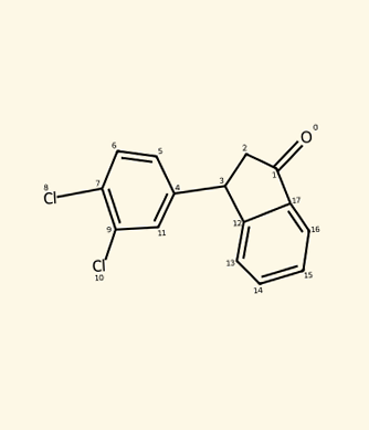 O=C1CC(c2ccc(Cl)c(Cl)c2)c2ccccc21